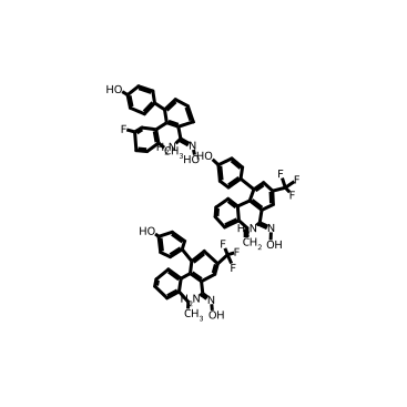 C=Cc1ccccc1-c1c(/C(N)=N/O)cc(C(F)(F)F)cc1-c1ccc(O)cc1.CCc1ccccc1-c1c(/C(N)=N/O)cc(C(F)(F)F)cc1-c1ccc(O)cc1.Cc1ccc(F)cc1-c1c(/C(N)=N/O)cccc1-c1ccc(O)cc1